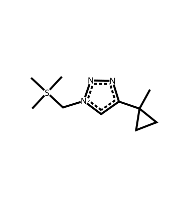 CC1(c2cn(CS(C)(C)C)nn2)CC1